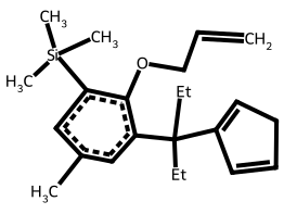 C=CCOc1c(C(CC)(CC)C2=CCC=C2)cc(C)cc1[Si](C)(C)C